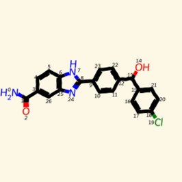 NC(=O)c1ccc2[nH]c(-c3ccc(C(O)c4ccc(Cl)cc4)cc3)nc2c1